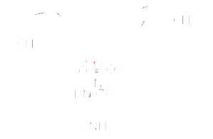 CCCCC/C=C\C/C=C\CCCCCCCC(=O)OC1CN(C(=O)[C@@H](N)CCCCN)C[C@H]1OC(=O)CCCCCCC/C=C\C/C=C\CCCCC